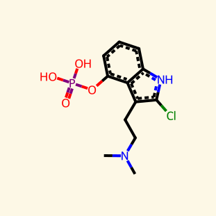 CN(C)CCc1c(Cl)[nH]c2cccc(OP(=O)(O)O)c12